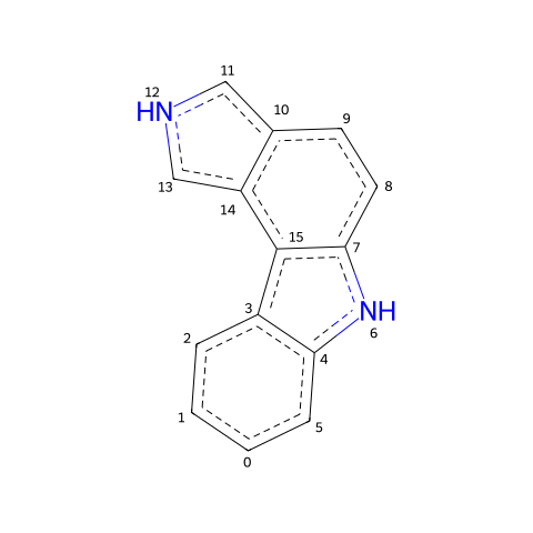 c1ccc2c(c1)[nH]c1ccc3c[nH]cc3c12